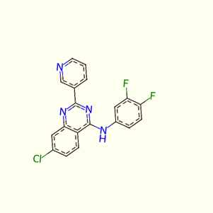 Fc1ccc(Nc2nc(-c3cccnc3)nc3cc(Cl)ccc23)cc1F